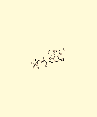 C=C1Nc2c(Cl)cc3cc(C(=O)NC4C[C@@H]5[C@H](C4)C5(F)F)oc3c2C2(CCCCC2)N1